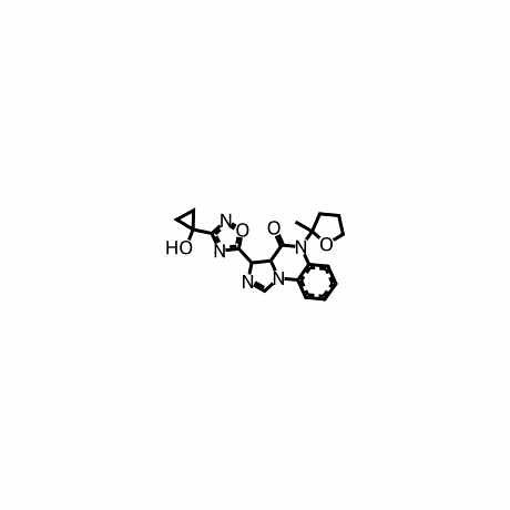 CC1(N2C(=O)C3C(c4nc(C5(O)CC5)no4)N=CN3c3ccccc32)CCCO1